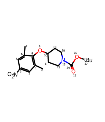 Cc1cc([N+](=O)[O-])cc(C)c1OC1CCN(C(=O)OC(C)(C)C)CC1